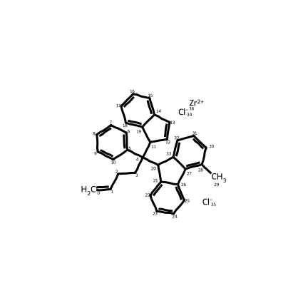 C=CCCC(c1ccccc1)(C1C=Cc2ccccc21)C1c2ccccc2-c2c(C)cccc21.[Cl-].[Cl-].[Zr+2]